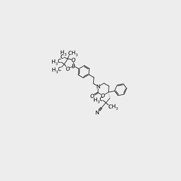 CC(C)(C#N)C[C@@]1(c2ccccc2)CCN(CCc2ccc(B3OC(C)(C)C(C)(C)O3)cc2)C(=O)O1